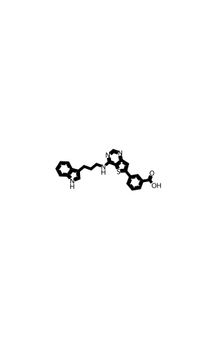 O=C(O)c1cccc(-c2cc3ncnc(NCCCc4c[nH]c5ccccc45)c3s2)c1